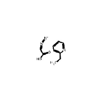 CCc1ccccn1.[N-]=[N+]=CC(=O)O